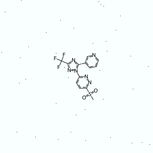 CS(=O)(=O)c1ccc(-n2nc(C(F)(F)F)nc2-c2cccnc2)nn1